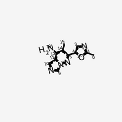 Cc1ncc(-c2nn3cncc3c(N)c2C)o1